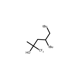 CC(C)(C)CC(CC(C)(O)C(F)(F)F)C(C)(C)C